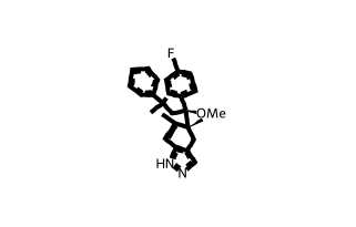 CO[C@@](CC(C)(C)c1ccccc1)(c1ccc(F)cc1)[C@]1(C)Cc2cn[nH]c2C=C1C